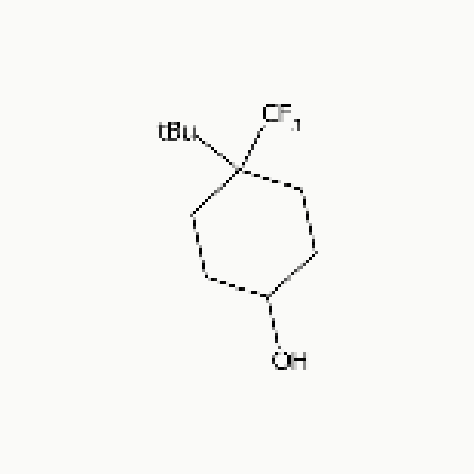 CC(C)(C)C1(C(F)(F)F)CCC(O)CC1